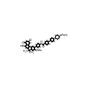 CCCCC[C@H]1CC[C@H](c2ccc(-c3ccc(C(=O)Nc4ccc(-c5cc6c(cc5OC)C(C)(C)c5cc(O)c7c(Cl)cc(Cl)cc7c5-6)cc4)cc3)cc2)CC1